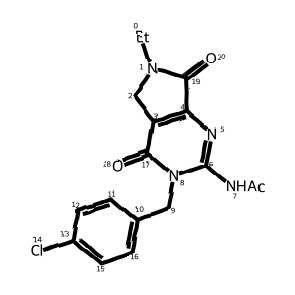 CCN1Cc2c(nc(NC(C)=O)n(Cc3ccc(Cl)cc3)c2=O)C1=O